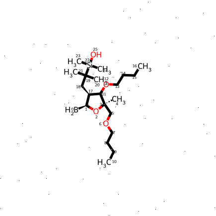 B[C@@H]1O[C@](C)(COCCCC)C(OCCCC)[C@@H]1CC(C)(C)[Si](C)(C)O